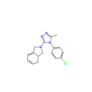 Cc1nnc(N2CC3=CC=CCC3C2)n1-c1ccc(Cl)cc1